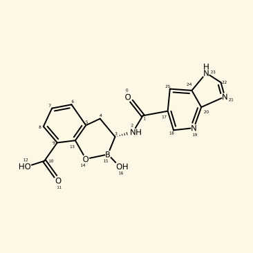 O=C(N[C@H]1Cc2cccc(C(=O)O)c2OB1O)c1cnc2nc[nH]c2c1